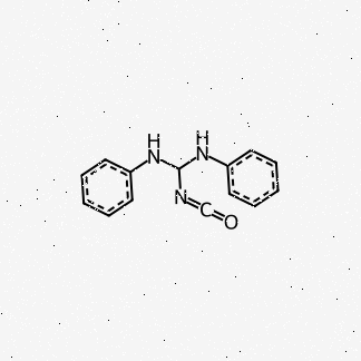 O=C=NC(Nc1ccccc1)Nc1ccccc1